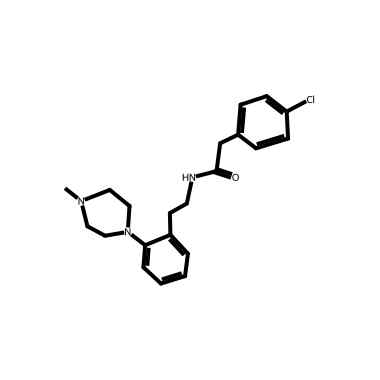 CN1CCN(c2ccccc2CCNC(=O)Cc2ccc(Cl)cc2)CC1